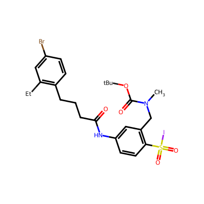 CCc1cc(Br)ccc1CCCC(=O)Nc1ccc(S(=O)(=O)I)c(CN(C)C(=O)OC(C)(C)C)c1